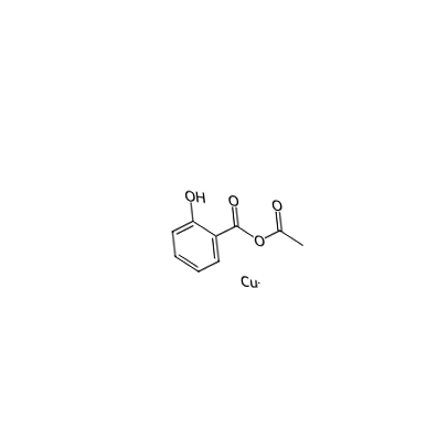 CC(=O)OC(=O)c1ccccc1O.[Cu]